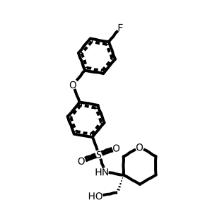 O=S(=O)(N[C@]1(CO)CCCOC1)c1ccc(Oc2ccc(F)cc2)cc1